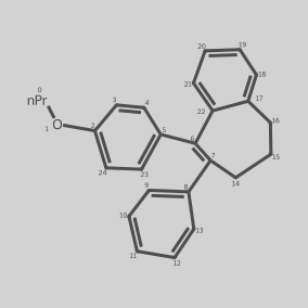 C[CH]COc1ccc(C2=C(c3ccccc3)CCCc3ccccc32)cc1